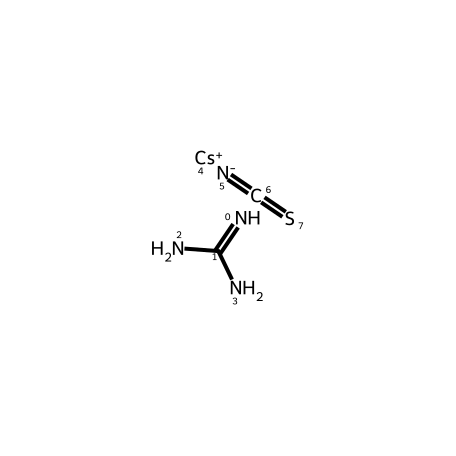 N=C(N)N.[Cs+].[N-]=C=S